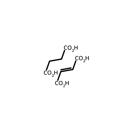 O=C(O)C=CC(=O)O.O=C(O)CCC(=O)O